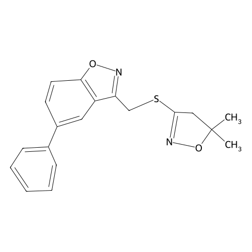 CC1(C)CC(SCc2noc3ccc(-c4ccccc4)cc23)=NO1